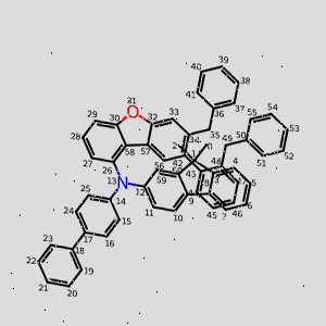 CC1(C)c2ccccc2-c2ccc(N(c3ccc(-c4ccccc4)cc3)c3cccc4oc5cc(Cc6ccccc6)c(-c6ccccc6Cc6ccccc6)cc5c34)cc21